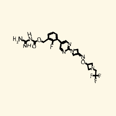 N=C(N)NC(=O)OCc1cccc(-c2cnc(N3CC(=NOC4CN(CC(F)(F)F)C4)C3)nc2)c1F